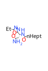 CCCCCCCC(=O)N[C@H](CC(N)=O)c1nnc(CC)o1